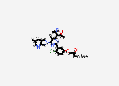 CNC[C@H](O)COc1ccc(Cl)c(-c2nc(-c3c(C)noc3C)c(C)c(N3Cc4cc(C)cnc4C3)n2)c1